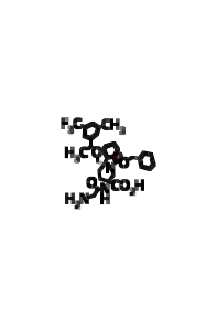 Cc1cc(C(C)OC[C@@]2(c3ccccc3)CCC(NC(=O)CN)(C(=O)O)CN2C(=O)OCc2ccccc2)cc(C(F)(F)F)c1